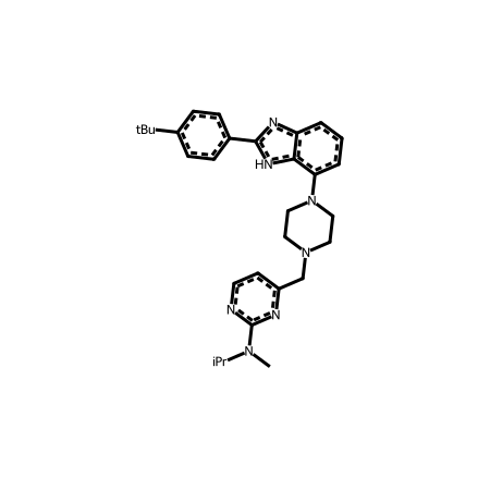 CC(C)N(C)c1nccc(CN2CCN(c3cccc4nc(-c5ccc(C(C)(C)C)cc5)[nH]c34)CC2)n1